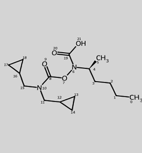 CCCC[C@H](C)N(OC(=O)N(CC1CC1)CC1CC1)C(=O)O